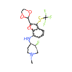 CN1CC[C@@H](Nc2cccc3c(SC(F)(F)F)c(C4OCCO4)oc23)[C@@H](F)C1